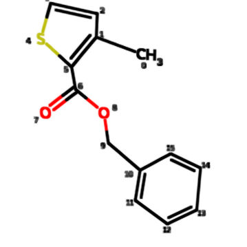 Cc1ccsc1C(=O)OCc1ccccc1